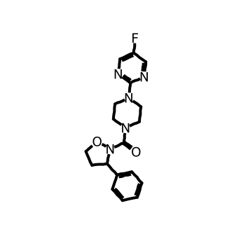 O=C(N1CCN(c2ncc(F)cn2)CC1)N1OCCC1c1ccccc1